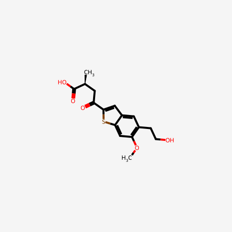 COc1cc2sc(C(=O)C[C@H](C)C(=O)O)cc2cc1CCO